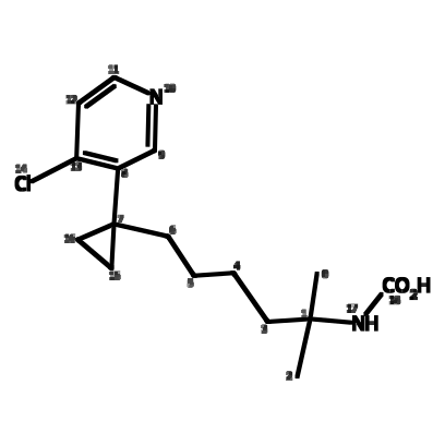 CC(C)(CCCCC1(c2cnccc2Cl)CC1)NC(=O)O